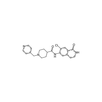 O=C(Nc1cc2cc[nH]c(=O)c2cc1Cl)C1CCN(Cc2ccncc2)CC1